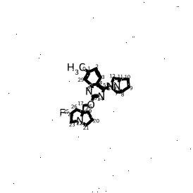 Cc1ccc2c(N3CC4CCC(C3)N4)nc(OC[C@@]34CCCN3C[C@H](F)C4)nc2c1